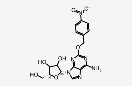 Nc1nc(OCc2ccc([N+](=O)[O-])cc2)nc2c1ncn2[C@@H]1O[C@H](CO)C(O)C1O